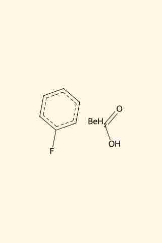 Fc1ccccc1.O=CO.[BeH2]